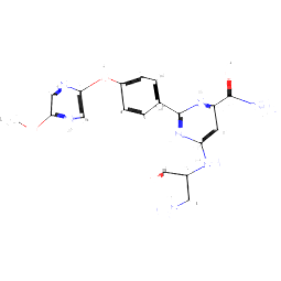 COc1cnc(Oc2ccc(-c3nc(NC(C=O)CN)cc(C(N)=O)n3)cc2)cn1